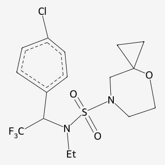 CCN(C(c1ccc(Cl)cc1)C(F)(F)F)S(=O)(=O)N1CCOC2(CC2)C1